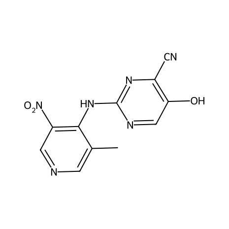 Cc1cncc([N+](=O)[O-])c1Nc1ncc(O)c(C#N)n1